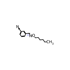 CCCCCCO/N=[C]/c1cccc(C#N)c1